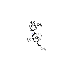 CCOC(=O)CC(C)(C)/C=C(\C)C(=O)OC(C)(C)C